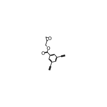 C#Cc1cc(C#C)cc(C(=O)OCC2CO2)c1